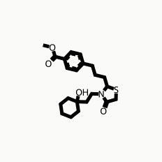 COC(=O)c1ccc(CCCC2SCC(=O)N2CCC2(O)CCCCC2)cc1